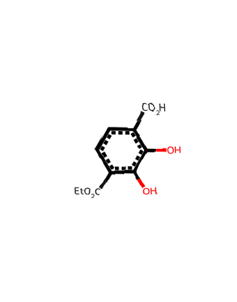 CCOC(=O)c1ccc(C(=O)O)c(O)c1O